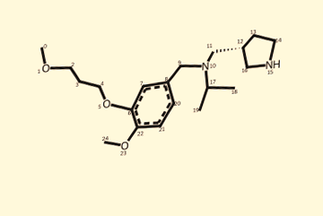 COCCCOc1cc(CN(C[C@@H]2CCNC2)C(C)C)ccc1OC